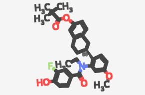 CCN(C(=O)c1ccc(O)c(F)c1)c1cc(OC)ccc1[C@H]1CCc2cc(OC(=O)C(C)(C)C)ccc2C1